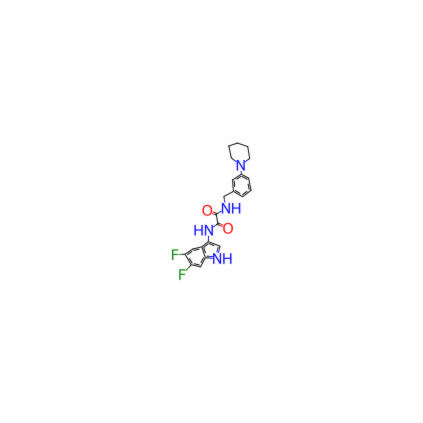 O=C(NCc1cccc(N2CCCCC2)c1)C(=O)Nc1c[nH]c2cc(F)c(F)cc12